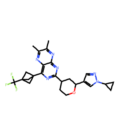 Cc1nc2nc(C3CCOC(c4cnn(C5CC5)c4)C3)nc(C34CC(C(F)(F)F)(C3)C4)c2nc1C